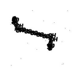 Cc1cc(OCC(O)CN(C)CC(O)COCCOCCOCCOCCOCCOCCOCCOCCOCCOCC(O)N(C)CC(O)COc2cc(C)c3sc4ccccc4c(=O)c3c2)cc2c(=O)c3ccccc3sc12